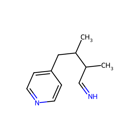 CC(C=N)C(C)Cc1ccncc1